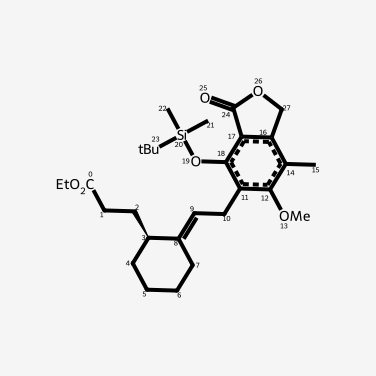 CCOC(=O)CC[C@@H]1CCCC/C1=C\Cc1c(OC)c(C)c2c(c1O[Si](C)(C)C(C)(C)C)C(=O)OC2